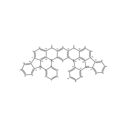 c1ccc2c(c1)B1c3cc4c(cc3Sc3ccc5c6ccccc6n-2c5c31)Sc1ccc2c3ccccc3n3c2c1B4c1ccccc1-3